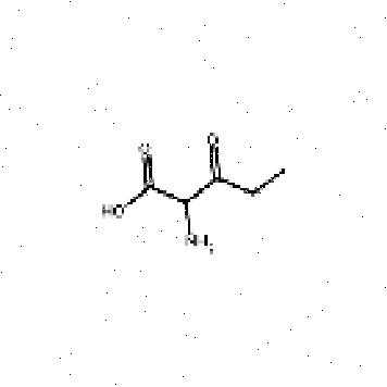 CCC(=O)C(N)C(=O)O